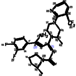 C=C(/N=C(\C=C(/N)c1ccc(F)c(F)c1)N1CCN(c2ncccc2C(F)(F)F)C[C@H]1C)N1CCC[C@@H]1C